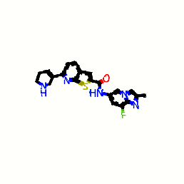 Cc1cn2cc(NC(=O)c3cc4ccc(C5=CCCNC5)nc4s3)cc(F)c2n1